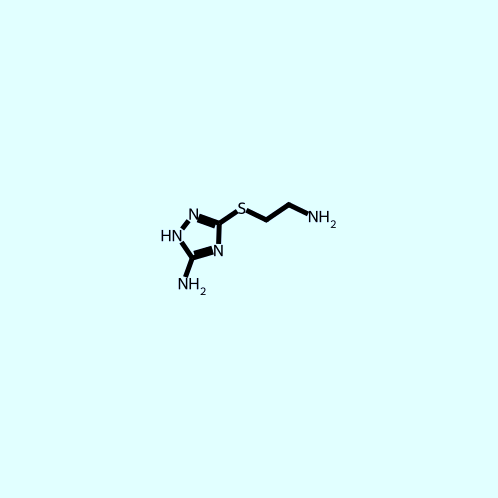 NCCSc1n[nH]c(N)n1